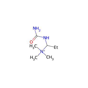 CCC(NC(N)=O)[N+](C)(C)C